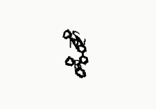 c1ccc(B(c2ccccc2)c2cccc(-c3ccc4nc5sc6ccccc6c5nc4c3)c2)cc1